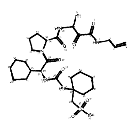 C=CCNC(=O)C(=O)C(CCC)NC(=O)[C@@H]1CCCN1C(=O)[C@@H](NC(=O)NC1(CS(=O)(=O)C(C)(C)C)CCCCC1)C1CCCCC1